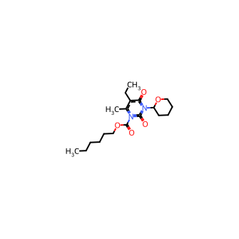 CCCCCCOC(=O)n1c(C)c(CC)c(=O)n(C2CCCCO2)c1=O